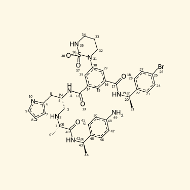 C[C@H](NC[C@H](Cc1cscn1)NC(=O)c1cc(C(=O)N[C@H](C)c2ccc(Br)cc2)cc(N2CCCNS2(=O)=O)c1)C(=O)N[C@H](C)c1ccc(N)cc1